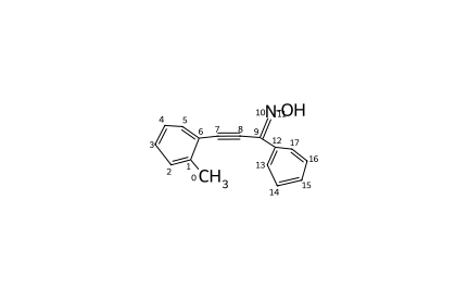 Cc1ccccc1C#C/C(=N/O)c1ccccc1